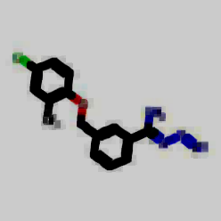 N=N/N=C(\N)c1cccc(COc2ccc(Cl)cc2C(F)(F)F)c1